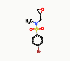 CN(C[C@H]1CO1)S(=O)(=O)c1ccc(Br)cc1